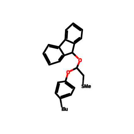 CCC(C)c1ccc(OC(CSC)OC2c3ccccc3-c3ccccc32)cc1